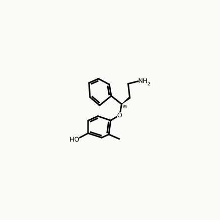 Cc1cc(O)ccc1O[C@H](CCN)c1ccccc1